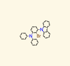 Brc1c(N(c2ccccc2)c2ccccc2)cccc1-n1c2ccccc2c2ccccc21